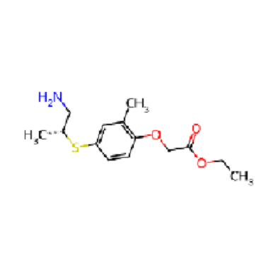 CCOC(=O)COc1ccc(S[C@H](C)CN)cc1C